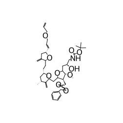 C=CCOC/C=C/[C@H]1CC(=C)C(CC[C@H]2C[C@@H](C)C(=C)C(CC3OC(C[C@H](O)CNC(=O)OC(C)(C)C)[C@H](OC)[C@H]3CS(=O)(=O)c3ccccc3)O2)O1